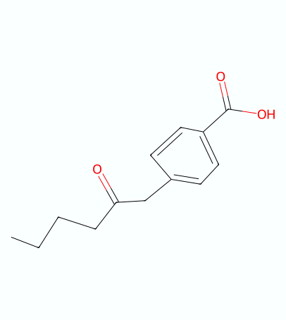 CCCCC(=O)Cc1ccc(C(=O)O)cc1